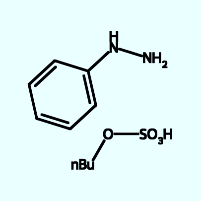 CCCCOS(=O)(=O)O.NNc1ccccc1